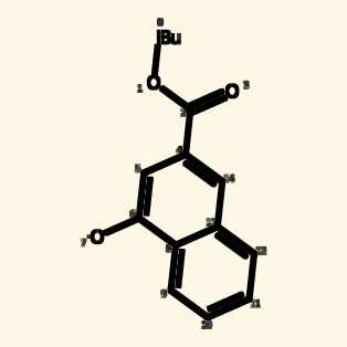 CCC(C)OC(=O)c1cc([O])c2ccccc2c1